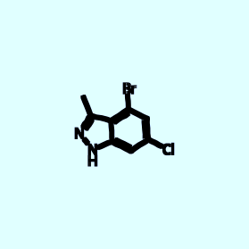 Cc1n[nH]c2cc(Cl)cc(Br)c12